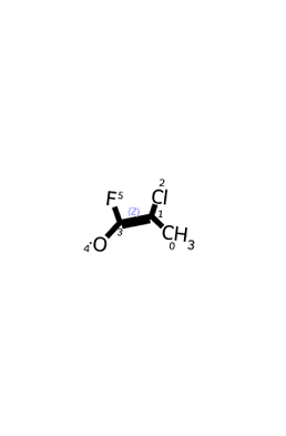 C/C(Cl)=C(\[O])F